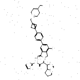 O=C(Nc1nccs1)C(C1N=CN2CCCC12)N1Cc2c(F)cc(-c3ccc(C45CC(CN6CCC(CO)CC6)(C4)C5)cc3)cc2C1=O